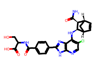 NC(=O)[C@@H]1[C@H](Nc2c(Cl)cnc3[nH]c(-c4ccc(C(=O)NC(CO)C(=O)O)cc4)nc23)[C@H]2C=C[C@@H]1C2